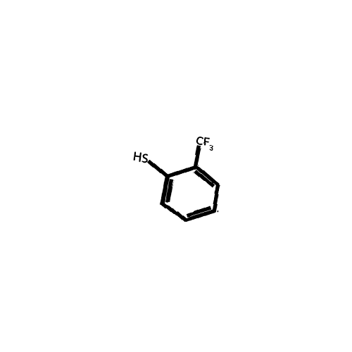 FC(F)(F)c1c[c]ccc1S